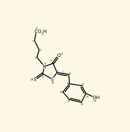 O=C(O)CCCN1C(=O)/C(=C/c2cccc(O)c2)SC1=S